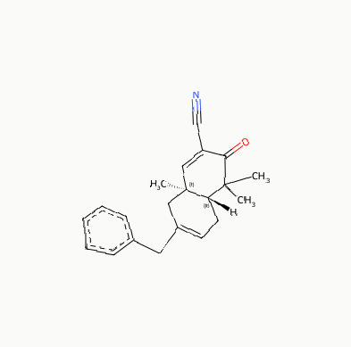 CC1(C)C(=O)C(C#N)=C[C@]2(C)CC(Cc3ccccc3)=CC[C@@H]12